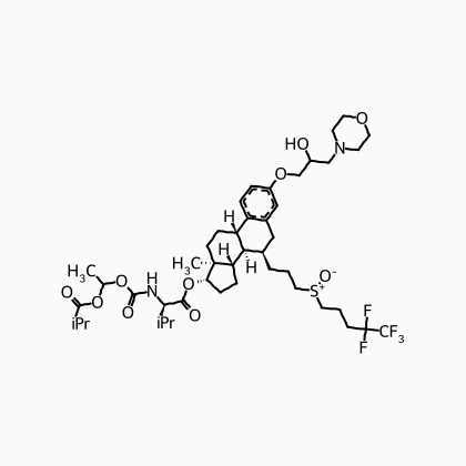 CC(OC(=O)N[C@@H](C(=O)O[C@H]1CC[C@H]2[C@@H]3[C@H](CCC[S+]([O-])CCCC(F)(F)C(F)(F)F)Cc4cc(OCC(O)CN5CCOCC5)ccc4[C@H]3CC[C@]12C)C(C)C)OC(=O)C(C)C